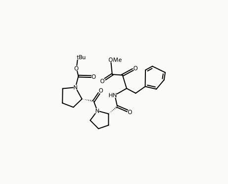 COC(=O)C(=O)C(Cc1ccccc1)NC(=O)[C@@H]1CCCN1C(=O)[C@@H]1CCCN1C(=O)OC(C)(C)C